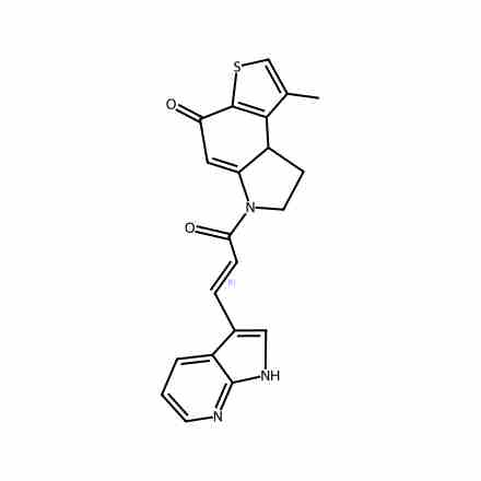 Cc1csc2c1C1CCN(C(=O)/C=C/c3c[nH]c4ncccc34)C1=CC2=O